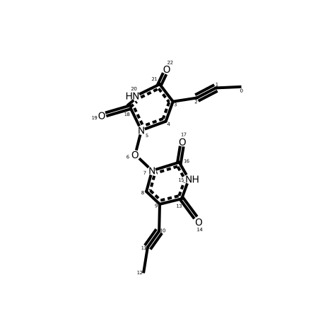 CC#Cc1cn(On2cc(C#CC)c(=O)[nH]c2=O)c(=O)[nH]c1=O